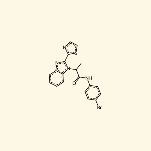 CC(C(=O)Nc1ccc(Br)cc1)n1c(-c2nccs2)nc2ccccc21